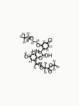 COc1cc(NC(C(=O)O)c2ccc(Cl)cc2OCCO[Si](C)(C)C(C)(C)C)cc(C(C)=NOC(C)(C)C(=O)OC(C)(C)C)c1